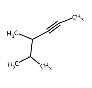 CC#CC(C)[C](C)C